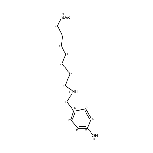 CCCCCCCCCCCCCCCCCNCc1ccc(O)cc1